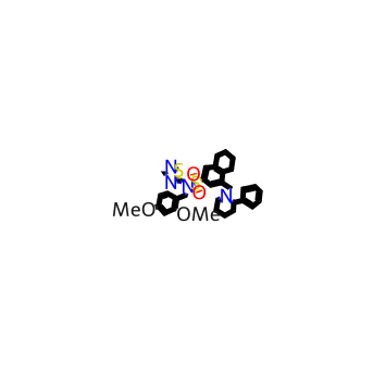 COc1ccc(CN(c2ncns2)S(=O)(=O)c2cc3c(c(CN4CCCCC4c4ccccc4)c2)CCCC3)c(OC)c1